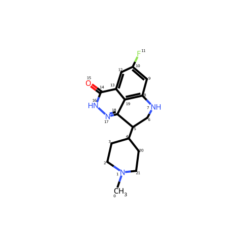 CN1CCC(C2CNc3cc(F)cc4c(=O)[nH]nc2c34)CC1